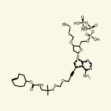 CC(C)(C)SSCO[C@@H]1C[C@H](n2cc(C#CCOCSSC(C)(C)CNC(=O)OC3CC/C=C/CCC3)c3c(N)ncnc32)O[C@@H]1COP(=O)(O)OP(=O)(O)OP(=O)(O)O